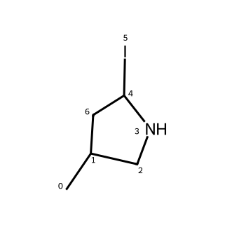 CC1CNC(I)C1